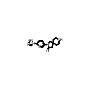 O=C1CC2(CCNCC2)CN1c1ccc(-n2cnnn2)nc1